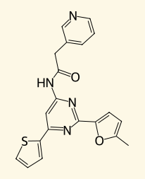 Cc1ccc(-c2nc(NC(=O)Cc3cccnc3)cc(-c3cccs3)n2)o1